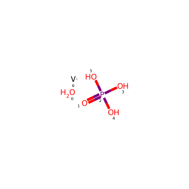 O.O=P(O)(O)O.[V]